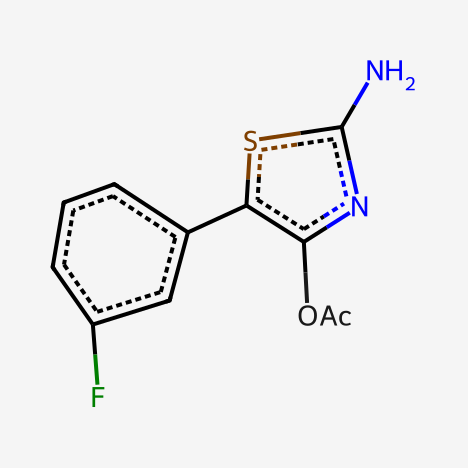 CC(=O)Oc1nc(N)sc1-c1cccc(F)c1